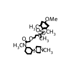 COc1cc(C)c(S(=O)(=O)N(C)CCOCC(=O)N(C)[C@H]2CCC[C@H](N3CCN(C)CC3)C2)c(C)c1